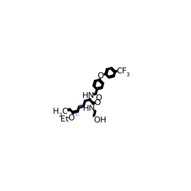 C=C/C(=C\C=C\CC(NC(=O)c1ccc(Oc2ccc(C(F)(F)F)cc2)cc1)C(=O)NCCO)OCC